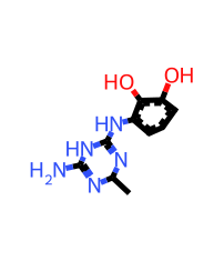 CC1N=C(N)NC(Nc2cccc(O)c2O)=N1